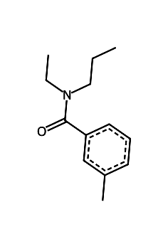 CCCN(CC)C(=O)c1cccc(C)c1